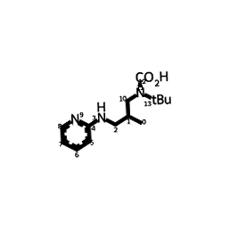 CC(CNc1ccccn1)CN(C(=O)O)C(C)(C)C